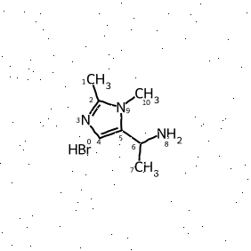 Br.Cc1ncc(C(C)N)n1C